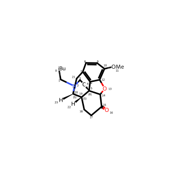 CCC(C)CN1CC[C@@]23c4c5ccc(OC)c4OC2C(=O)CC[C@@H]3[C@@H]1C5